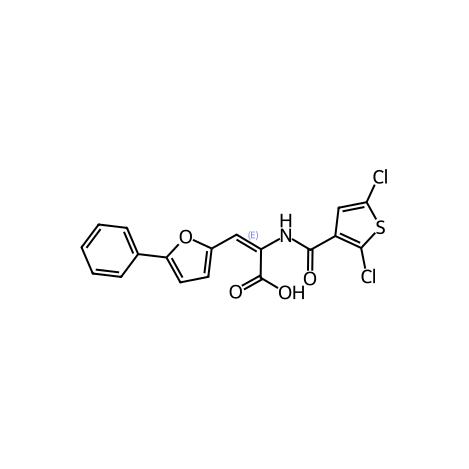 O=C(O)/C(=C\c1ccc(-c2ccccc2)o1)NC(=O)c1cc(Cl)sc1Cl